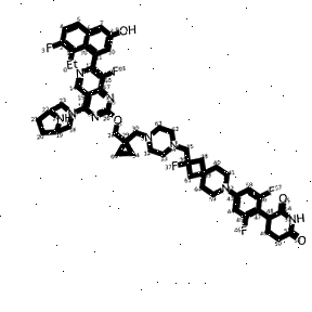 CCc1c(F)ccc2cc(O)cc(-c3ncc4c(N5CC6CCC(C5)N6)nc(OCC5(CN6CCN(CC7(F)CC8(CCN(c9cc(F)c(C%10CCC(=O)NC%10=O)c(F)c9)CC8)C7)CC6)CC5)nc4c3F)c12